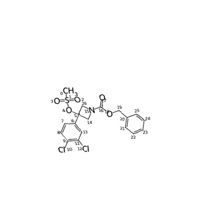 CS(=O)(=O)OC1(c2ccc(Cl)c(Cl)c2)CN(C(=O)OCc2ccccc2)C1